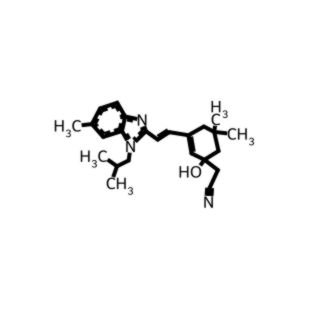 Cc1ccc2nc(/C=C/C3=CC(O)(CC#N)CC(C)(C)C3)n(CC(C)C)c2c1